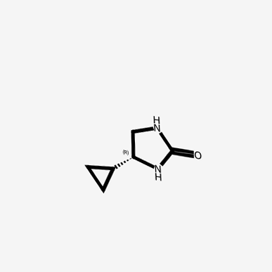 O=C1NC[C@@H](C2CC2)N1